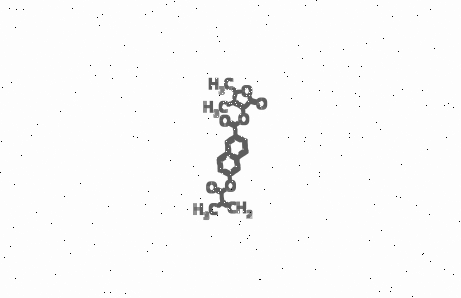 C=C(C)C(=O)Oc1ccc2cc(C(=O)OC3=C(C)C(C)OC3=O)ccc2c1